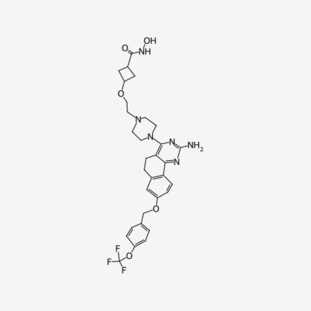 Nc1nc2c(c(N3CCN(CCOC4CC(C(=O)NO)C4)CC3)n1)CCc1cc(OCc3ccc(OC(F)(F)F)cc3)ccc1-2